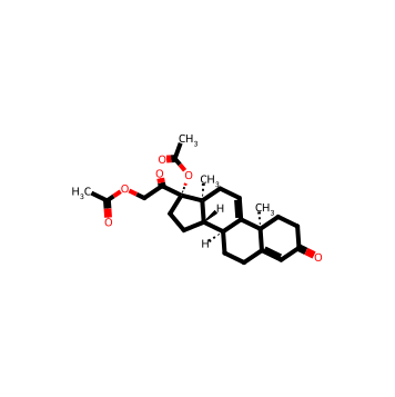 CC(=O)OCC(=O)[C@]1(OC(C)=O)CC[C@H]2[C@@H]3CCC4=CC(=O)CC[C@]4(C)C3=CC[C@@]21C